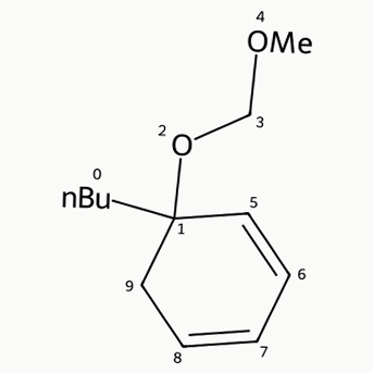 CCCCC1(OCOC)C=CC=CC1